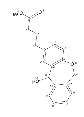 COC(=O)CCCc1ccc2c(c1)C(O)c1ccccc1CO2